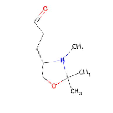 CN1[C@@H](CCC=O)COC1(C)C